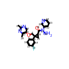 Cc1ncc(OCC2(c3cccc(F)c3)CC2C(=O)N(N)c2cccnc2)c(C)n1